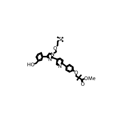 COC(=O)C(C)(C)COc1ccc(-c2ccc(-c3nc(-c4cccc(CO)c4)cn3COCC[Si](C)(C)C)cn2)cc1